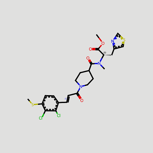 COC(=O)[C@H](Cc1cscn1)N(C)C(=O)C1CCN(C(=O)/C=C/c2ccc(SC)c(Cl)c2Cl)CC1